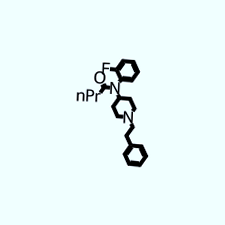 CCCC(=O)N(c1ccccc1F)C1CCN(CCc2ccccc2)CC1